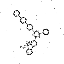 CC1(C)c2ccccc2-c2ccc(-c3nc(-c4ccccc4)nc(-c4ccc(-c5ccc(-c6ccccc6)cc5)cc4)n3)cc21